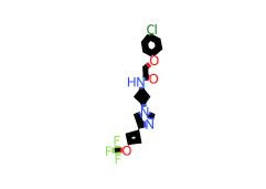 O=C(COc1ccc(Cl)cc1)NC12CC(n3cnc([C@H]4C[C@@H](OC(F)(F)F)C4)c3)(C1)C2